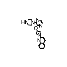 c1ccc2nc(N3CC(Oc4nccnc4N4CCNCC4)C3)ccc2c1